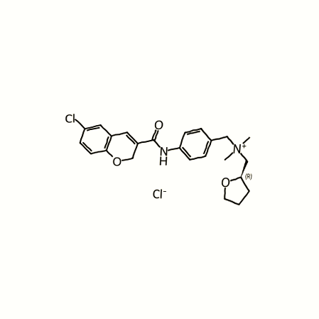 C[N+](C)(Cc1ccc(NC(=O)C2=Cc3cc(Cl)ccc3OC2)cc1)C[C@H]1CCCO1.[Cl-]